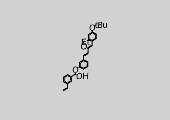 C=Cc1cccc(C(O)Oc2cccc(C=CC(=Cc3ccc(OC(C)(C)C)cc3)OCC)c2)c1